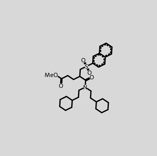 COC(=O)CCC(CS(=O)(=O)c1ccc2ccccc2c1)C(=O)N(CCC1CCCCC1)CCC1CCCCC1